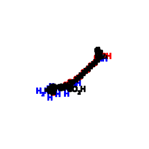 C#CCOCC(CO)(COCC#C)NC(=O)CCOCCOCCOCCOCCOCCOCCNC(=O)CC[C@H](NC(=O)c1ccc(NCc2cnc3nc(N)[nH]c(=O)c3n2)cc1)C(=O)O